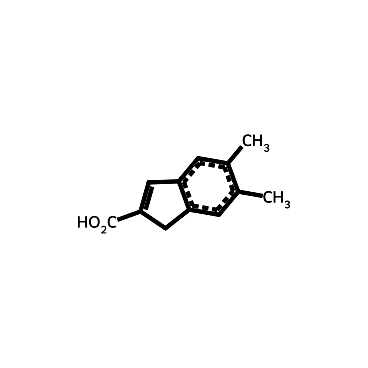 Cc1cc2c(cc1C)CC(C(=O)O)=C2